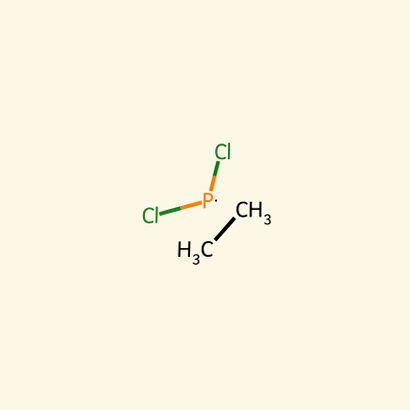 CC.Cl[P]Cl